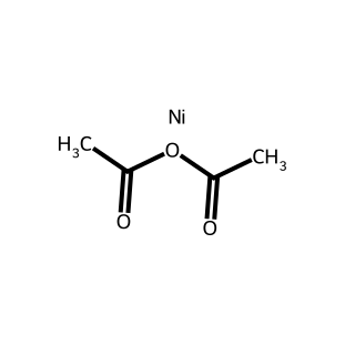 CC(=O)OC(C)=O.[Ni]